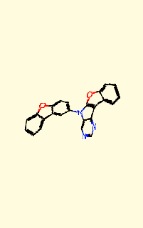 c1ccc2c(c1)oc1ccc(-n3c4cncnc4c4c5ccccc5oc43)cc12